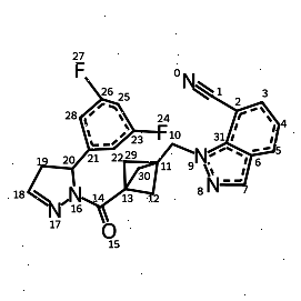 N#Cc1cccc2cnn(CC34CC(C(=O)N5N=CCC5c5cc(F)cc(F)c5)(C3)C4)c12